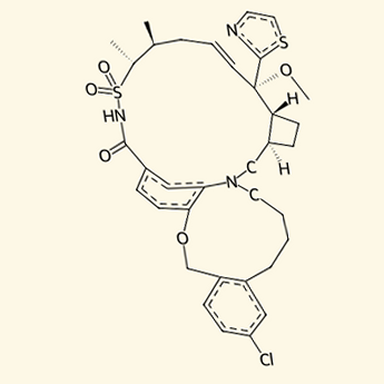 CO[C@@]1(c2nccs2)/C=C/C[C@H](C)[C@@H](C)S(=O)(=O)NC(=O)c2ccc3c(c2)N(CCCCc2cc(Cl)ccc2CO3)C[C@@H]2CC[C@H]21